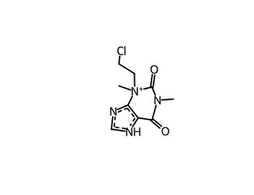 CN1C(=O)c2[nH]cnc2[N+](C)(CCCl)C1=O